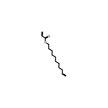 C=CCCCCCCCCCOC(=O)C=C